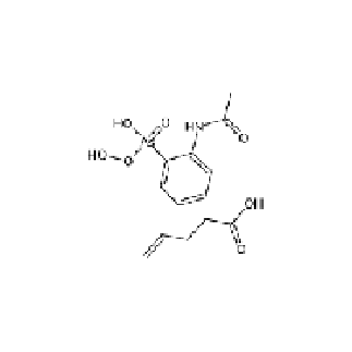 C=CCCC(=O)O.CC(=O)Nc1ccccc1[As](=O)(O)OO